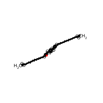 C=CC(=O)OCCCCCCCCCCCCCCCCCCCOc1ccc(C(=O)Oc2ccc(OC(=O)c3ccc(OCCCCCCCCCCCCCCCCCCCOC(=O)C=C)cc3)c(F)c2F)cc1